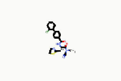 CN(C#N)C(=O)[C@H](Cc1nccs1)NC(=O)c1ccc(-c2ccccc2Cl)cc1